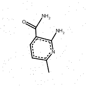 Cc1ccc(C(N)=O)c(N)n1